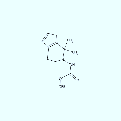 CC(C)(C)OC(=O)NN1CCc2ccsc2C1(C)C